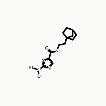 CC[S+]([O-])c1ncc(C(=O)NCCC23CCC(CC2)C3)s1